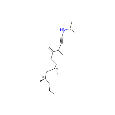 C=C(CC[C@H](C)C[C@H](C)CCC)C(C)C#CNC(C)C